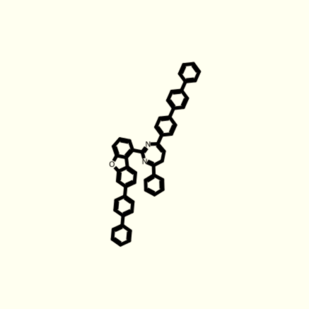 C1=C(c2ccc(-c3ccc(-c4ccccc4)cc3)cc2)N=C(c2cccc3oc4cc(-c5ccc(-c6ccccc6)cc5)ccc4c23)N=C(c2ccccc2)C1